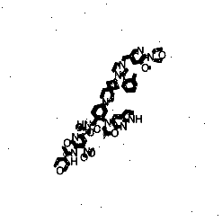 COc1cc(CN2CCN(C3CC4(CCN(c5ccc(C(=O)NS(=O)(=O)c6cc([N+](=O)[O-])c7c(n6)OC[C@H](C6CCOCC6)N7)c(N6C[C@@H](C)Oc7nc8[nH]ccc8cc76)c5)CC4)C3)[C@H](c3ccccc3C)C2)cnc1N1CCOCC1